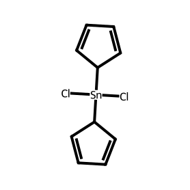 [Cl][Sn]([Cl])([CH]1C=CC=C1)[CH]1C=CC=C1